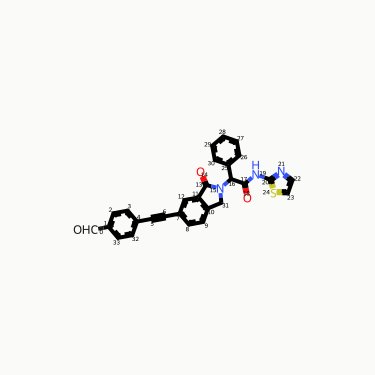 O=Cc1ccc(C#Cc2ccc3c(c2)C(=O)N(C(C(=O)Nc2nccs2)c2ccccc2)C3)cc1